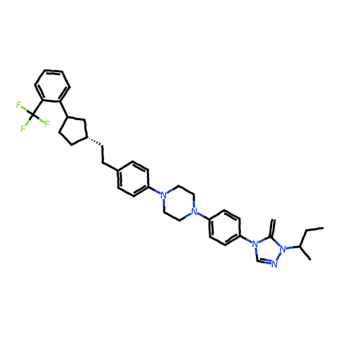 C=C1N(c2ccc(N3CCN(c4ccc(CC[C@@H]5CCC(c6ccccc6C(F)(F)F)C5)cc4)CC3)cc2)C=NN1C(C)CC